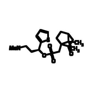 CNCC[C@H](OS(=O)(=O)CC12CCC(CC1=O)C2(C)C)c1cccs1